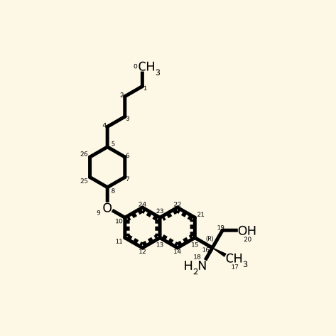 CCCCCC1CCC(Oc2ccc3cc([C@@](C)(N)CO)ccc3c2)CC1